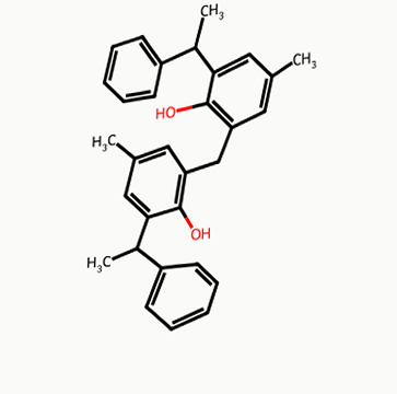 Cc1cc(Cc2cc(C)cc(C(C)c3ccccc3)c2O)c(O)c(C(C)c2ccccc2)c1